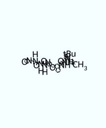 Cc1ccc(-n2nc(C(C)(C)C)cc2NC(=O)Nc2ccc(Oc3ccnc(NC(=O)NCC(=O)NCCN4CCOCC4)c3)c3ccccc23)cc1